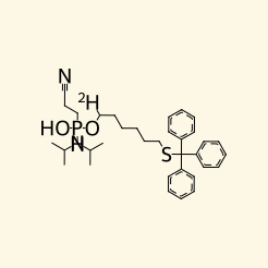 [2H]C(CCCCCSC(c1ccccc1)(c1ccccc1)c1ccccc1)O[PH](O)(CCC#N)N(C(C)C)C(C)C